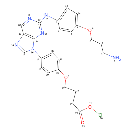 NCCCOc1ccc(Nc2ncc3ncn(-c4ccc(OCCCC(=O)OCl)cc4)c3n2)cc1